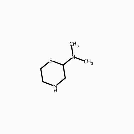 CN(C)[C]1CNCCS1